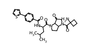 CC(C)CC(NC(=O)c1ccc(-c2cccs2)cc1)C(=O)N1CCC2C1C(=O)CN2C(=O)C1(N)CCC1